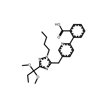 CCCCn1nc(C(CC)(OC)OC)nc1Cc1ccc(-c2ccccc2C(=O)O)nc1